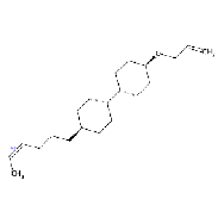 C=CCO[C@H]1CC[C@H]([C@H]2CC[C@H](CCC/C=C\C)CC2)CC1